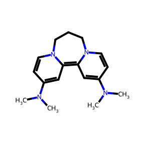 CN(C)C1=CC2=C3C=C(N(C)C)C=CN3CCCN2C=C1